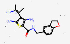 C/C(N)=C(\C)c1c(N)sc(C(=O)NCc2ccc3c(c2)CCO3)c1N